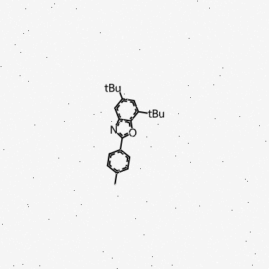 Cc1ccc(-c2nc3cc(C(C)(C)C)cc(C(C)(C)C)c3o2)cc1